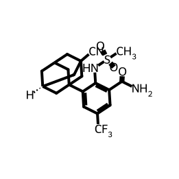 CS(=O)(=O)Nc1c(C(N)=O)cc(C(F)(F)F)cc1C12CC3C[C@@H](CC(C#N)(C3)C1)C2